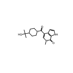 Cn1cc(C(=O)N2CCC(C(C)(C)O)CC2)c2cc[nH]c2c1=O